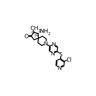 C[C@@H]1C(=O)CC2(CCN(c3cnc(Sc4ccncc4Cl)cn3)CC2)[C@H]1N